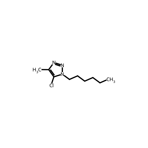 CCCCCCn1nnc(C)c1Cl